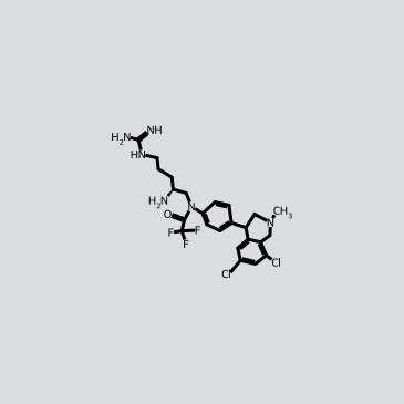 CN1Cc2c(Cl)cc(Cl)cc2C(c2ccc(N(C[C@@H](N)CCCNC(=N)N)C(=O)C(F)(F)F)cc2)C1